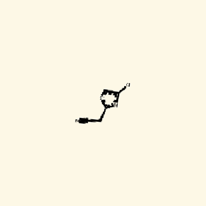 N#CCc1nc(Cl)cs1